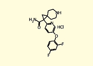 Cl.NC(=O)C1(c2ccc(Oc3ccc(F)cc3F)cn2)CC12CCNCC2